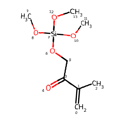 C=C(C)C(=O)CO[Si](OC)(OC)OC